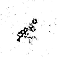 CC(C)(F)CNS(=O)(=O)c1c2c(cc3cnc(C4CC4)cc13)CC(Nc1cncnc1Nc1cccnc1)C2